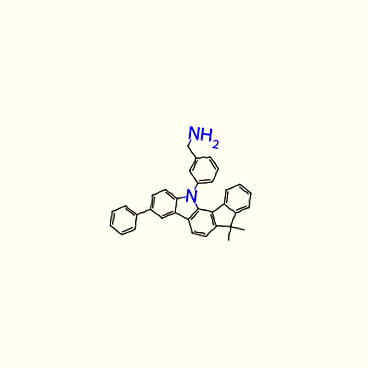 CC1(C)c2ccccc2-c2c1ccc1c3cc(-c4ccccc4)ccc3n(-c3cccc(CN)c3)c21